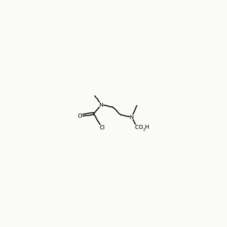 CN(CCN(C)C(=O)Cl)C(=O)O